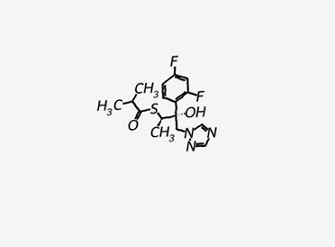 CC(C)C(=O)S[C@H](C)[C@](O)(Cn1cncn1)c1ccc(F)cc1F